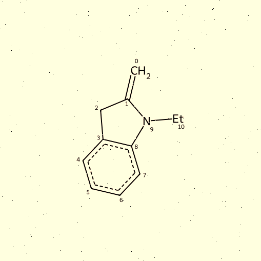 C=C1Cc2ccccc2N1CC